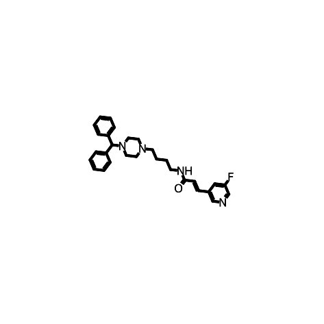 O=C(C=Cc1cncc(F)c1)NCCCCN1CCN(C(c2ccccc2)c2ccccc2)CC1